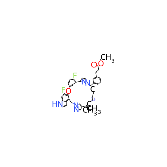 CCOC(=O)CCc1cccc(C2CC/C=C/CC(C)(C)c3cnn(c3)Cc3c(c(F)cc4[nH]ccc34)Oc3ccc(F)c(c3)-c3ccn2n3)c1